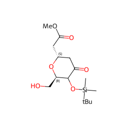 COC(=O)C[C@@H]1CC(=O)C(O[Si](C)(C)C(C)(C)C)[C@@H](CO)O1